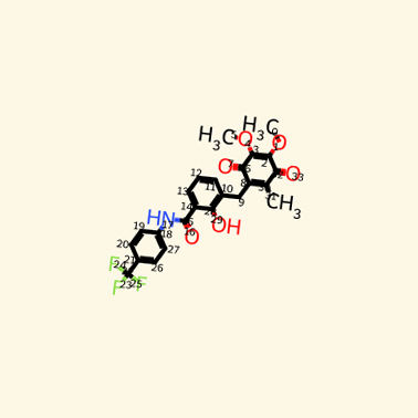 COC1=C(OC)C(=O)C(Cc2cccc(C(=O)Nc3ccc(C(F)(F)F)cc3)c2O)=C(C)C1=O